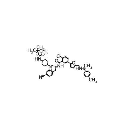 Cc1ccc([C@@H](C)NCc2ccc(-c3ccc(Cl)c(C(=O)N[C@@H](CNC4CCC(NC(=O)OC(C)(C)C)CC4)Cc4ccc(C#N)cc4)c3)o2)cc1